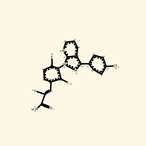 NC(=O)C(F)=Cc1ccc(F)c(-n2nc(-c3ccc(C(F)(F)F)cc3)c3cccnc32)c1F